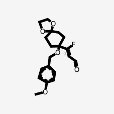 COc1ccc(COC2(/C(F)=C/C=O)CCC3(CC2)OCCO3)cc1